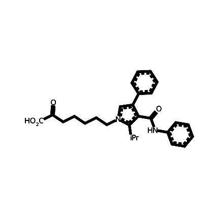 CC(C)c1c(C(=O)Nc2ccccc2)c(-c2ccccc2)cn1CCCCCC(=O)C(=O)O